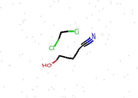 ClCCl.N#CCCO